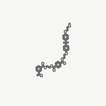 COCCOc1ccc(C(C)(C)c2ccc(OCCOC(=O)c3ccc(C(=O)OCCOC(=O)c4cccc(C(C)=O)c4)cc3)cc2)cc1